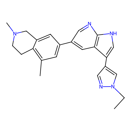 CCn1cc(-c2c[nH]c3ncc(-c4cc(C)c5c(c4)CN(C)CC5)cc23)cn1